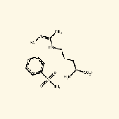 N#CN=C(N)NCCCC(N)C(=O)O.NS(=O)(=O)c1ccccc1